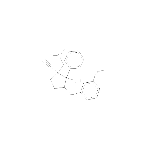 C#CC1(CN(C)C)CCC(Cc2cccc(OC)c2)C1(O)c1ccccc1